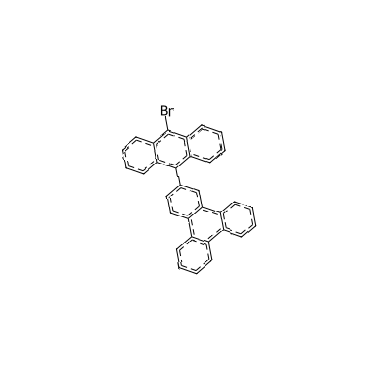 Brc1c2ccccc2c(-c2ccc3c4ccccc4c4ccccc4c3c2)c2ccccc12